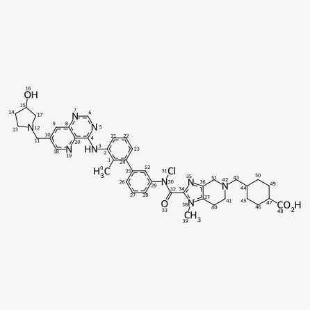 Cc1c(Nc2ncnc3cc(CN4CCC(O)C4)cnc23)cccc1-c1cccc(N(Cl)C(=O)c2nc3c(n2C)CCN(CC2CCC(C(=O)O)CC2)C3)c1